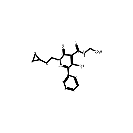 O=C(O)CNC(=O)c1c(O)c(-c2ccccc2)nn(CCC2CC2)c1=O